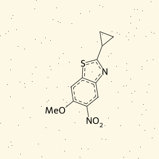 COc1cc2sc(C3CC3)nc2cc1[N+](=O)[O-]